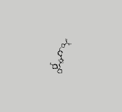 O=C(O)C1CN(Cc2ccc(-c3noc(/C=C/C4(c5ccc(F)cc5)CCCC4)n3)cc2)C1